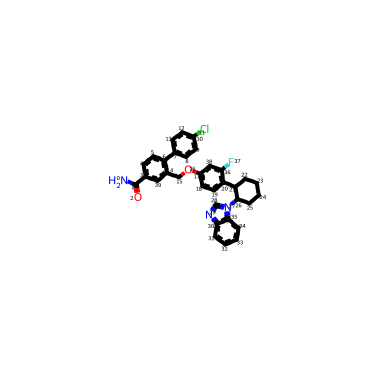 NC(=O)c1ccc(-c2ccc(Cl)cc2)c(COc2ccc(C3CCCCC3n3cnc4ccccc43)c(F)c2)c1